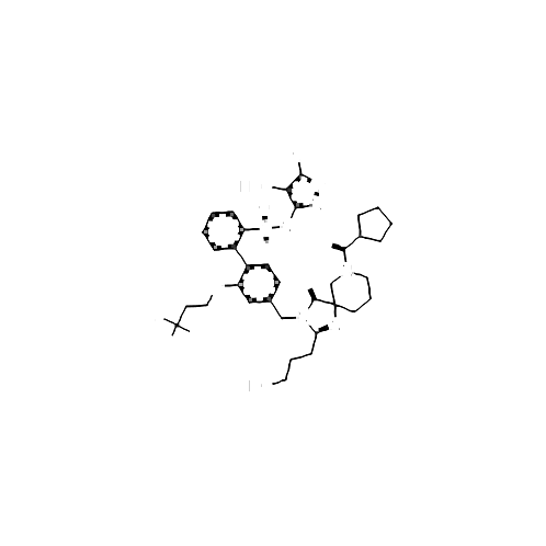 CCCCC1=NC2(CCCN(C(=O)C3CCCC3)C2)C(=O)N1Cc1ccc(-c2ccccc2S(=O)(=O)Nc2noc(C)c2C)c(OCCC(F)(F)F)c1